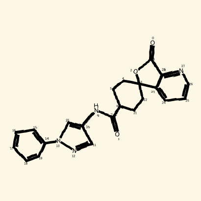 O=C1OC2(CCC(C(=O)Nc3cnn(-c4ccccc4)c3)CC2)c2cccnc21